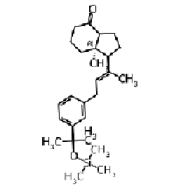 CC(=CCc1cccc(C(C)(C)O[Si](C)(C)C)c1)C1CCC2C(=O)CCC[C@@]21C